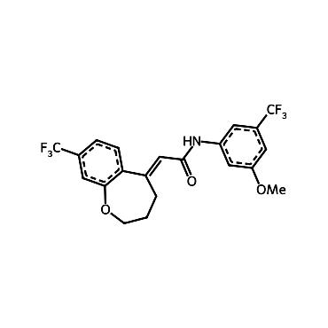 COc1cc(NC(=O)C=C2CCCOc3cc(C(F)(F)F)ccc32)cc(C(F)(F)F)c1